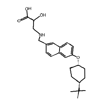 CC(C)(C)[C@H]1CC[C@H](Oc2ccc3cc(CNCC(O)C(=O)O)ccc3c2)CC1